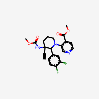 C#CC1(NC(=O)OC)CCCN(c2cnccc2C(=O)OC)C1c1ccc(F)c(F)c1